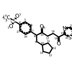 CS(=O)(=O)c1ccc(C(CC2CCCC2)C(=O)CCC(=O)c2nccs2)cc1